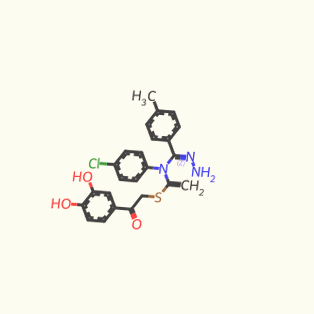 C=C(SCC(=O)c1ccc(O)c(O)c1)N(/C(=N\N)c1ccc(C)cc1)c1ccc(Cl)cc1